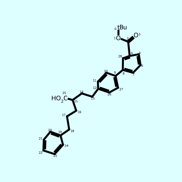 CC(C)(C)OC(=O)c1cccc(-c2ccc(CCC(CCCc3ccccc3)C(=O)O)cc2)c1